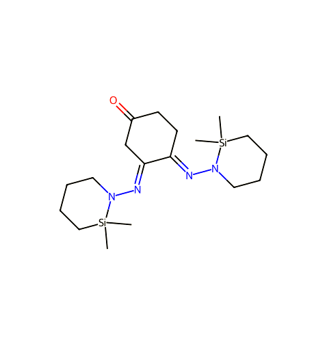 C[Si]1(C)CCCCN1N=C1CCC(=O)CC1=NN1CCCC[Si]1(C)C